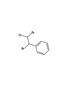 ClC(Br)C(Br)c1ccccc1